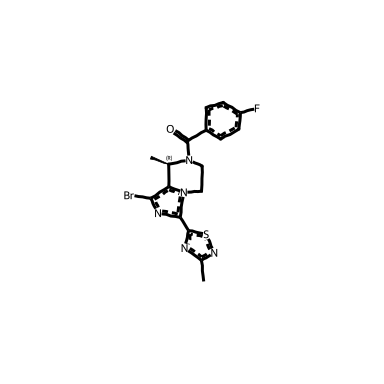 Cc1nsc(-c2nc(Br)c3n2CCN(C(=O)c2ccc(F)cc2)[C@@H]3C)n1